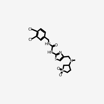 CN(Cc1csc(NC(=O)NCc2ccc(Cl)c(Cl)c2)n1)C1CCS(=O)(=O)C1